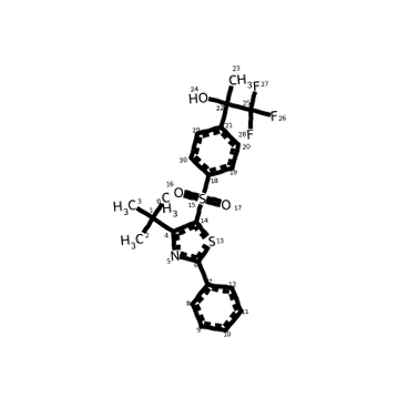 CC(C)(C)c1nc(-c2ccccc2)sc1S(=O)(=O)c1ccc(C(C)(O)C(F)(F)F)cc1